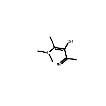 CC(=N)C(O)=C(C)N(C)C